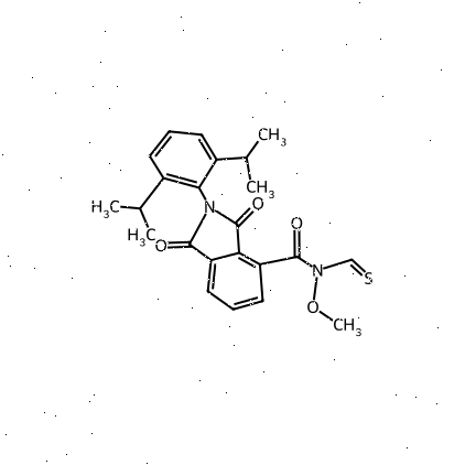 CON(C=S)C(=O)c1cccc2c1C(=O)N(c1c(C(C)C)cccc1C(C)C)C2=O